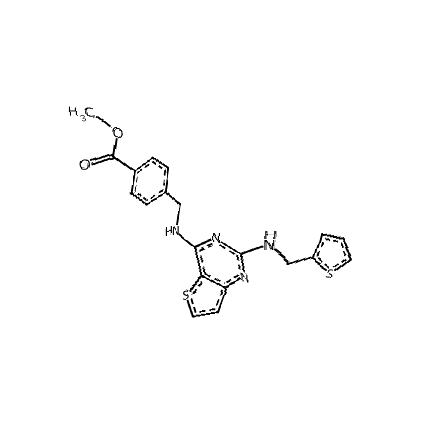 COC(=O)c1ccc(CNc2nc(NCc3cccs3)nc3ccsc23)cc1